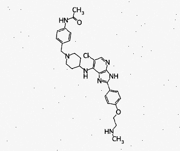 CNCCOc1ccc(-c2nc3c(NC4CCN(Cc5ccc(NC(C)=O)cc5)CC4)c(Cl)cnc3[nH]2)cc1